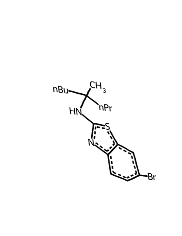 CCCCC(C)(CCC)Nc1nc2ccc(Br)cc2s1